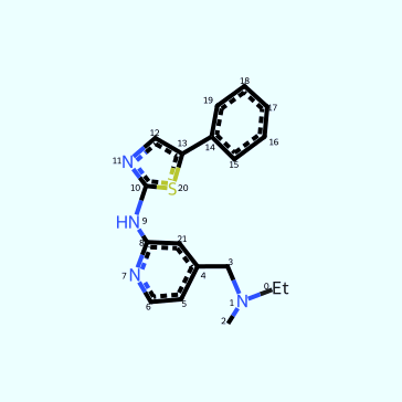 CCN(C)Cc1ccnc(Nc2ncc(-c3ccccc3)s2)c1